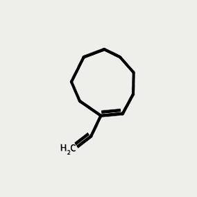 C=C/C1=C/CCCCCCC1